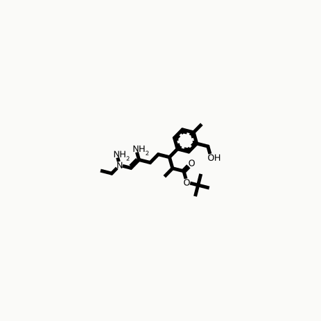 CCN(N)/C=C(\N)CCC(c1ccc(C)c(CO)c1)C(C)C(=O)OC(C)(C)C